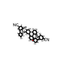 N#Cc1ccc2c(c1)c1ccccc1n2-c1cc(-c2ccccc2-c2ccccc2-n2c3ccccc3c3cc(C#N)ccc32)ccc1C#N